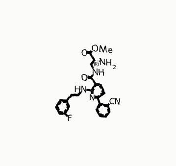 COC(=O)[C@H](N)CNC(=O)c1ccc(-c2ccccc2C#N)nc1NCCc1cccc(F)c1